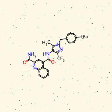 Cc1c(NC(=O)c2cc(C(N)=O)nc3ccccc23)c(C(F)(F)F)nn1Cc1ccc(C(C)(C)C)cc1